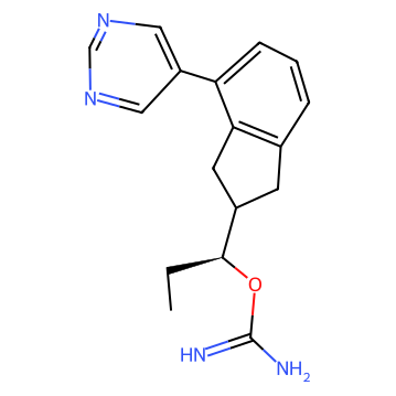 CC[C@H](OC(=N)N)C1Cc2cccc(-c3cncnc3)c2C1